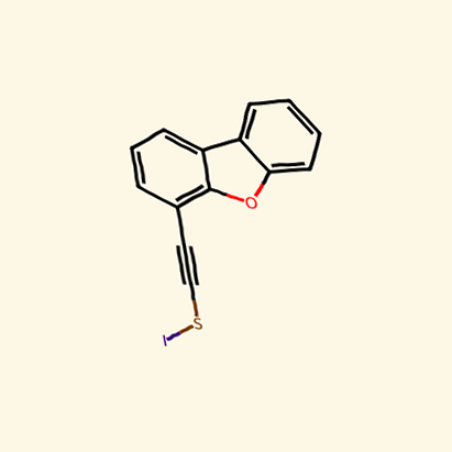 ISC#Cc1cccc2c1oc1ccccc12